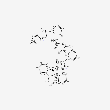 C=C(/C=C\C=C/C)c1ccccc1Nc1ccc2c(c1)oc1cccc(C/N=C(/c3ccccc3)N(C)n3c4ccccc4c4ccccc43)c12